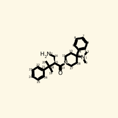 CN(C)C1(c2ccccc2)CCN(C(=O)[C@H](CN)C(C)(C)c2ccccc2)CC1